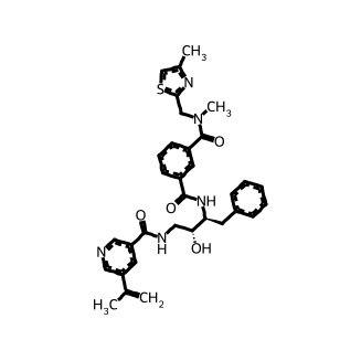 C=C(C)c1cncc(C(=O)NC[C@@H](O)[C@H](Cc2ccccc2)NC(=O)c2cccc(C(=O)N(C)Cc3nc(C)cs3)c2)c1